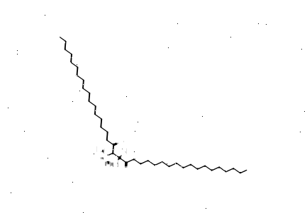 CCCCCCCCCCCCCCCCCC(=O)C(C(N)(O)C(=O)CCCCCCCCCCCCCCCCC)P(=O)(O)O